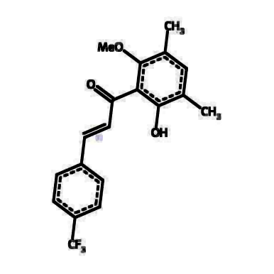 COc1c(C)cc(C)c(O)c1C(=O)/C=C/c1ccc(C(F)(F)F)cc1